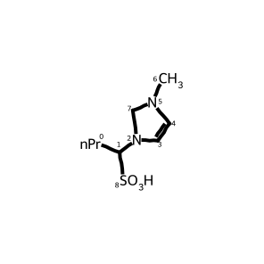 CCCC(N1C=CN(C)C1)S(=O)(=O)O